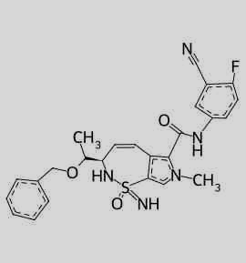 CC(OCc1ccccc1)[C@H]1C=Cc2c(cn(C)c2C(=O)Nc2ccc(F)c(C#N)c2)S(=N)(=O)N1